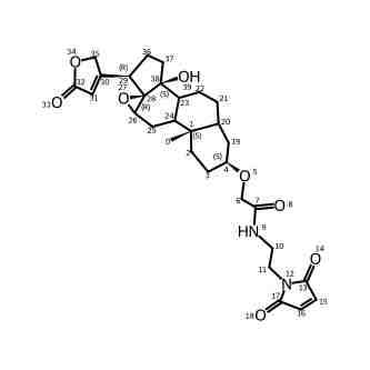 C[C@]12CC[C@H](OCC(=O)NCCN3C(=O)C=CC3=O)CC1CCC1C2CC2O[C@]23[C@@H](C2=CC(=O)OC2)CC[C@]13O